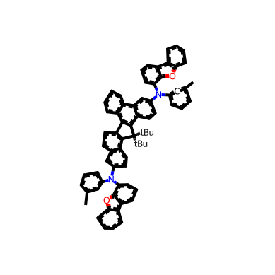 Cc1cccc(N(c2ccc3c4c(ccc3c2)-c2c(c3ccc(N(c5cccc(C)c5)c5cccc6c5oc5ccccc56)cc3c3ccccc23)C4(C(C)(C)C)C(C)(C)C)c2cccc3c2oc2ccccc23)c1